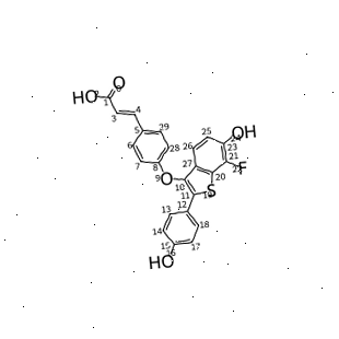 O=C(O)/C=C/c1ccc(Oc2c(-c3ccc(O)cc3)sc3c(F)c(O)ccc23)cc1